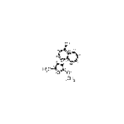 COc1ccc(C)o1.O=c1ccoc2ccccc12